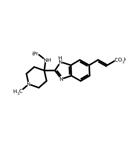 CC(C)NC1(c2nc3ccc(/C=C/C(=O)O)cc3[nH]2)CCN(C)CC1